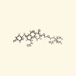 C[Si](C)(C)CCOCON1CCc2c(ncc3c2c(CCl)cn3Cc2ccc(F)cc2)C1=O